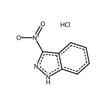 Cl.O=[N+]([O-])c1n[nH]c2ccccc12